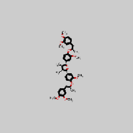 COc1ccc(C[C@@H](C)Oc2ccc([C@H]3O[C@H](c4ccc(O[C@H](C)Cc5ccc(OC)c(OC)c5)c(OC)c4)[C@H](C)[C@H]3C)cc2OC)cc1OC